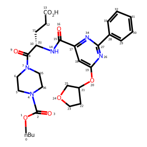 CCCCOC(=O)N1CCN(C(=O)[C@H](CCC(=O)O)NC(=O)c2cc(OC3CCOC3)nc(-c3ccccc3)n2)CC1